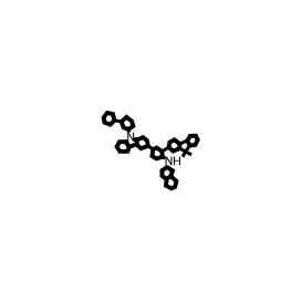 CC1(C)c2ccccc2-c2ccc(-c3cc(-c4ccc5c(c4)c4ccccc4n5-c4cccc(-c5ccccc5)c4)ccc3Nc3ccc4ccccc4c3)cc21